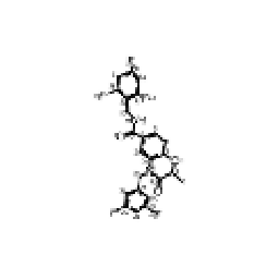 CC1Oc2ccc(C(=O)NCc3c(F)cc(F)cc3F)cc2N(Cc2cc(F)cc(F)c2)C1=O